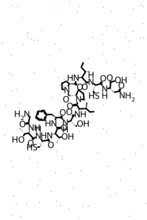 CC[C@H](C)[C@H](NC(=O)[C@@H]1CCCN1C(=O)[C@@H]1CCCN1C(=O)[C@@H](NC(=O)[C@H](CO)NC(=O)[C@H](Cc1ccccc1)NC(=O)[C@@H](NC(=O)[C@H](CS)NC(=O)[C@@H](NC(=O)CN)[C@@H](C)O)[C@@H](C)O)[C@@H](C)CC)C(=O)N[C@@H](CS)C(=O)N[C@@H](CC(N)=O)C(=O)O